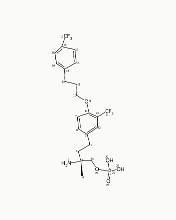 C[C@@](N)(CCc1ccc(OCCCc2ccc(C(F)(F)F)cc2)c(C(F)(F)F)c1)COP(=O)(O)O